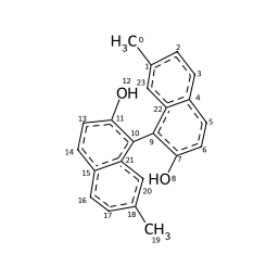 Cc1ccc2ccc(O)c(-c3c(O)ccc4ccc(C)cc34)c2c1